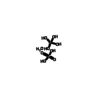 O.O=S(=O)(O)O.O[Si](O)(O)O